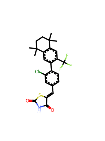 CC1(C)CCC(C)(C)c2cc(C(F)(F)F)c(-c3ccc(/C=C4\SC(=O)NC4=O)cc3Cl)cc21